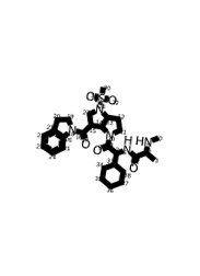 CNC(C)C(=O)NC(C(=O)N1CCC2C1C(C(=O)N1CCc3ccccc31)CN2S(C)(=O)=O)C1CCCCC1